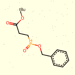 CC(C)(C)OC(=O)CC[PH](=O)OCc1ccccc1